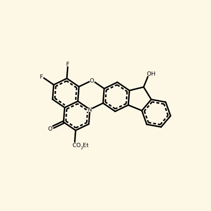 CCOC(=O)c1cn2c3c(c(F)c(F)cc3c1=O)Oc1cc3c(cc1-2)-c1ccccc1C3O